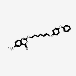 Cc1ccc2nc(OCCCCCCOc3ccc(Oc4ccccc4)cc3)oc(=O)c2c1